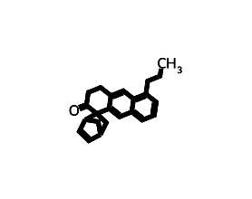 CCCc1cccc2cc3c(cc12)CCC(=O)C31CC2C=CC1C2